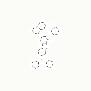 c1ccc(N(c2ccccc2)c2ccc3c(c2)sc2c4c(ccc23)B2c3c(cccc3O4)Oc3ccc4ccccc4c32)cc1